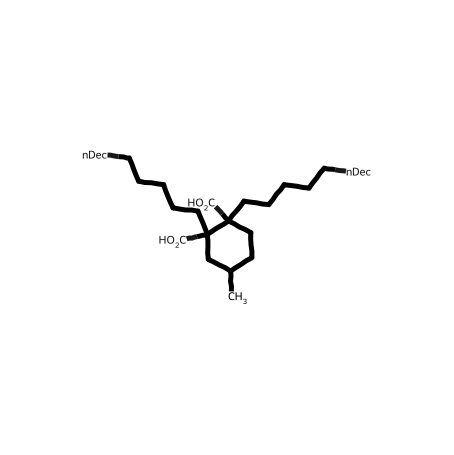 CCCCCCCCCCCCCCCC1(C(=O)O)CCC(C)CC1(CCCCCCCCCCCCCCC)C(=O)O